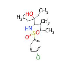 CC[C@H](C)[C@H](NS(=O)(=O)c1ccc(Cl)cc1)C(O)(CC)CC